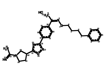 CC(=NOCCCCc1ccccc1)c1ccc(-c2noc(C3CCN(C(=N)N)C3)n2)cc1.Cl